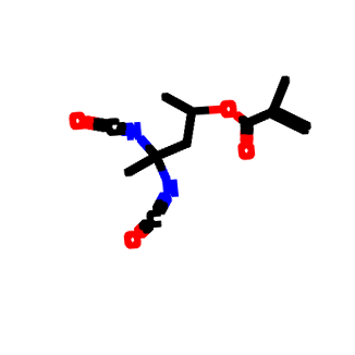 C=C(C)C(=O)OC(C)CC(C)(N=C=O)N=C=O